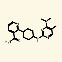 Cc1cnc(NC2CCC(c3ncccc3C(N)=O)CC2)nc1N(C)C